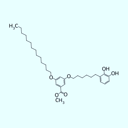 CCCCCCCCCCCCCCOc1cc(OCCCCCCc2cccc(O)c2O)cc(C(=O)OC)c1